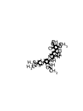 C=CC(=O)Nc1cc(N2CCC(N(C)CC)CC2)ccc1Nc1cc2c(cn1)cc(-c1c(Cl)c(OC)cc(OC)c1Cl)c1ncnn12